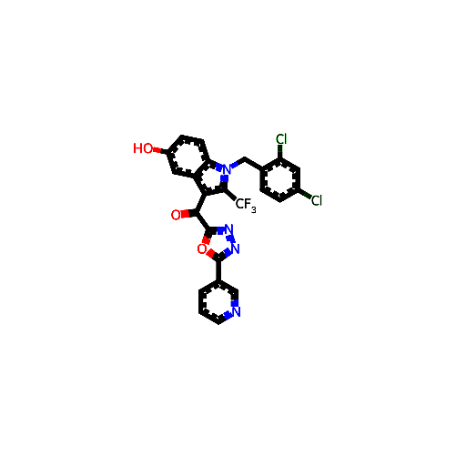 O=C(c1nnc(-c2cccnc2)o1)c1c(C(F)(F)F)n(Cc2ccc(Cl)cc2Cl)c2ccc(O)cc12